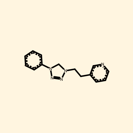 [c]1cccc(N2CN(CCc3cccnc3)N=N2)c1